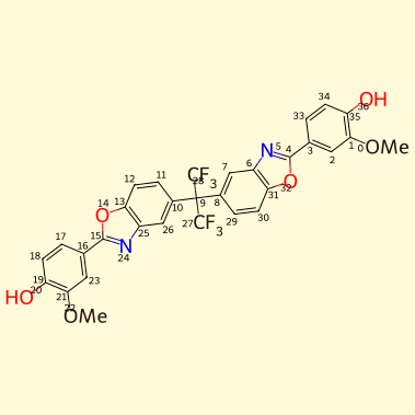 COc1cc(-c2nc3cc(C(c4ccc5oc(-c6ccc(O)c(OC)c6)nc5c4)(C(F)(F)F)C(F)(F)F)ccc3o2)ccc1O